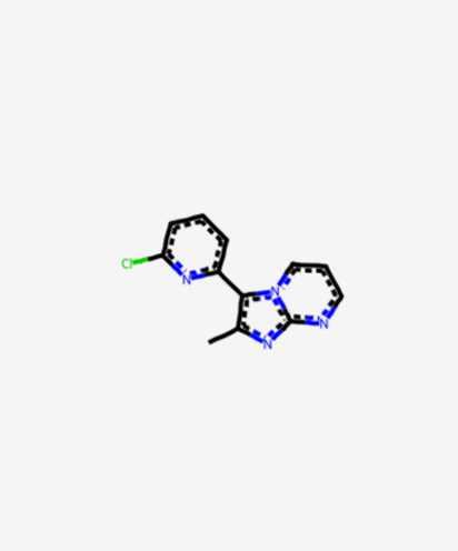 Cc1nc2ncccn2c1-c1cccc(Cl)n1